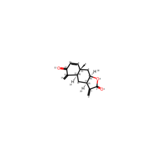 C=C1C(=O)O[C@@H]2C[C@@]3(C)C=CC(=O)C(=C)[C@@H]3C[C@H]12